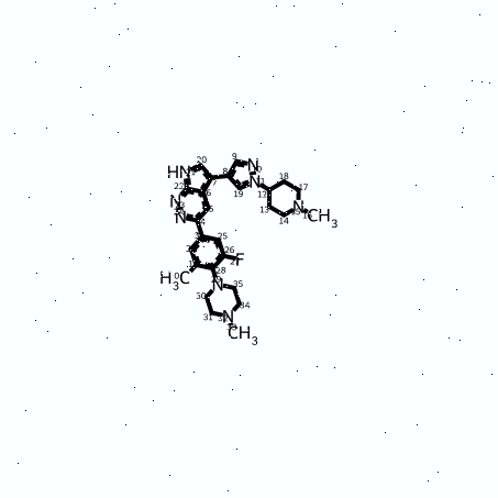 Cc1cc(-c2cc3c(-c4cnn(C5CCN(C)CC5)c4)c[nH]c3nn2)cc(F)c1N1CCN(C)CC1